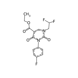 CCOC(=O)c1cn(CC(F)F)c(=O)n(-c2ccc(F)cc2)c1=O